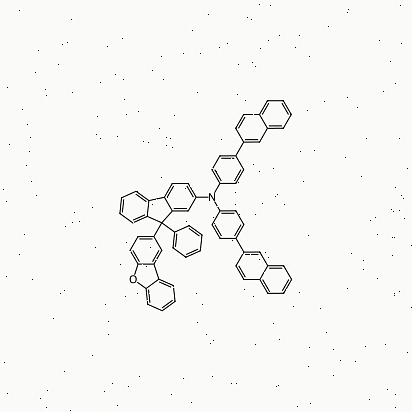 c1ccc(C2(c3ccc4oc5ccccc5c4c3)c3ccccc3-c3ccc(N(c4ccc(-c5ccc6ccccc6c5)cc4)c4ccc(-c5ccc6ccccc6c5)cc4)cc32)cc1